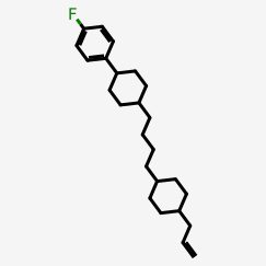 C=CCC1CCC(CCCCC2CCC(c3ccc(F)cc3)CC2)CC1